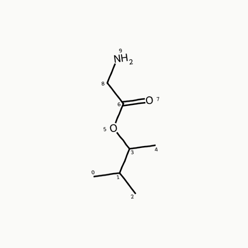 CC(C)C(C)OC(=O)CN